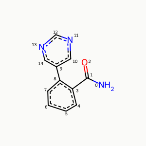 NC(=O)c1ccccc1-c1cncnc1